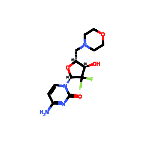 Nc1ccn([C@@H]2O[C@H](CN3CCOCC3)[C@@H](O)C2(F)F)c(=O)n1